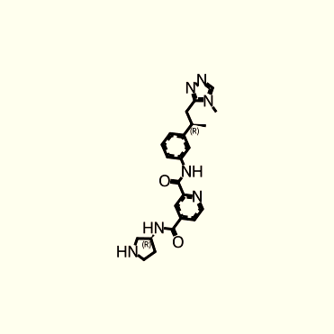 C[C@H](Cc1nncn1C)c1cccc(NC(=O)c2cc(C(=O)N[C@@H]3CCNC3)ccn2)c1